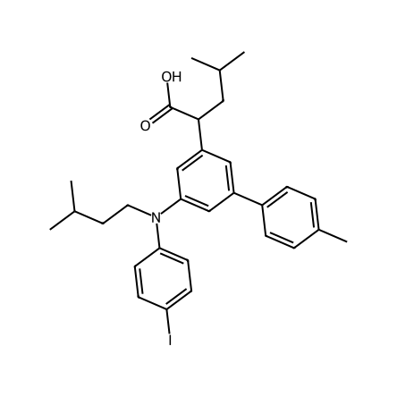 Cc1ccc(-c2cc(C(CC(C)C)C(=O)O)cc(N(CCC(C)C)c3ccc(I)cc3)c2)cc1